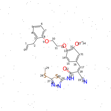 C=CCc1ccccc1OCCOc1ccc(C=C(C#N)C(=O)Nc2nnc(SC)s2)cc1OC